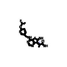 C/C(C(=N)Cl)=C1/C(=N)Sc2c(NCc3ccc(OC(F)F)nc3)ncnc21